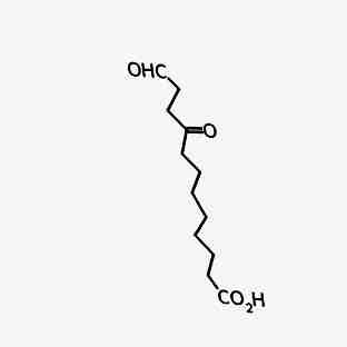 O=CCCC(=O)CCCCCCCC(=O)O